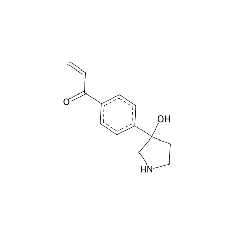 C=CC(=O)c1ccc(C2(O)CCNC2)cc1